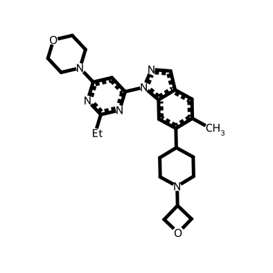 CCc1nc(N2CCOCC2)cc(-n2ncc3cc(C)c(C4CCN(C5COC5)CC4)cc32)n1